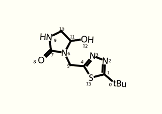 CC(C)(C)c1nnc(CN2C(=O)NCC2O)s1